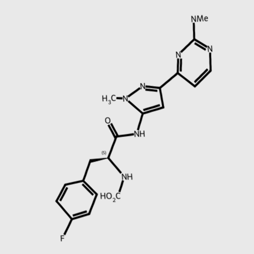 CNc1nccc(-c2cc(NC(=O)[C@H](Cc3ccc(F)cc3)NC(=O)O)n(C)n2)n1